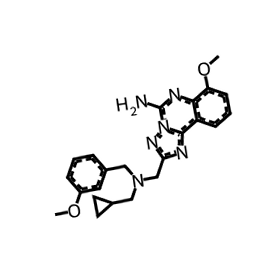 COc1cccc(CN(Cc2nc3c4cccc(OC)c4nc(N)n3n2)CC2CC2)c1